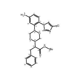 Cc1ccc(-n2cc(Cl)nn2)c(N2CON(C(Cc3ccccc3)C(=O)OC(C)(C)C)CO2)c1